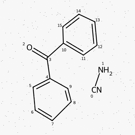 N#CN.O=C(c1ccccc1)c1ccccc1